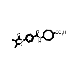 CC1=NN(c2ccc(C(=O)NC3CCCC(C(=O)O)CCC3)cc2)C(=O)C1C